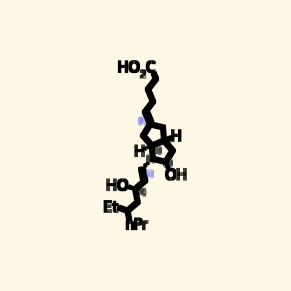 CCCC(CC)C[C@@H](O)/C=C/[C@@H]1[C@H]2C/C(=C/CCCC(=O)O)C[C@@H]2C[C@H]1O